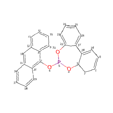 C1=CCC2OP(Oc3c4ccccc4cc4ccccc34)Oc3ccccc3C2=C1